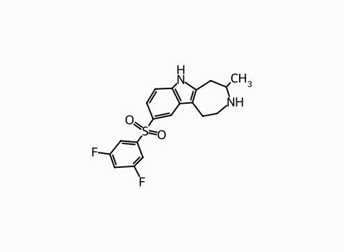 CC1Cc2[nH]c3ccc(S(=O)(=O)c4cc(F)cc(F)c4)cc3c2CCN1